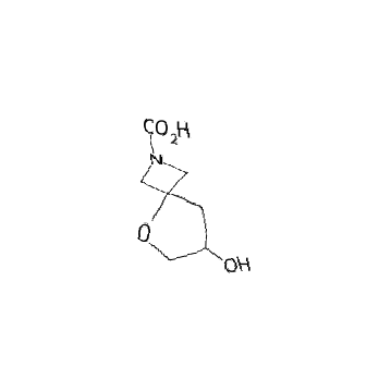 O=C(O)N1CC2(CC(O)CO2)C1